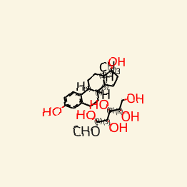 C[C@]12CC[C@@H]3c4ccc(O)cc4CC[C@H]3[C@@H]1CC[C@@H]2O.O=C[C@H](O)[C@@H](O)[C@H](O)[C@H](O)CO